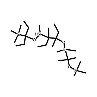 CCC(C)(O[Si](C)(C)C(C)(C)O[Si](C)(C)C)C(C)(CC)[SiH](C)OC(CC)(CC)[Si](C)(C)C